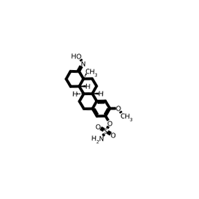 COc1cc2c(cc1OS(N)(=O)=O)CC[C@@H]1[C@@H]2CC[C@]2(C)/C(=N/O)CCC[C@@H]12